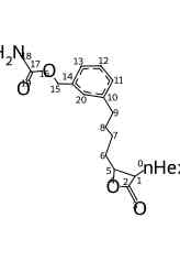 CCCCCCC1C(=O)OC1CCCCc1cccc(COC(N)=O)c1